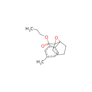 CCCOC(=O)C12CCCCC1(c1ccc(C)cc1)O2